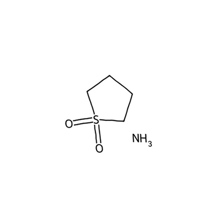 N.O=S1(=O)CCCC1